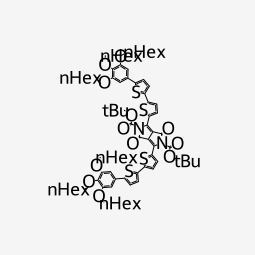 CCCCCCOc1cc(-c2ccc(-c3ccc(C4=C5C(=O)N(C(=O)OC(C)(C)C)C(c6ccc(-c7ccc(-c8cc(OCCCCCC)c(OCCCCCC)c(OCCCCCC)c8)s7)s6)=C5C(=O)N4C(=O)OC(C)(C)C)s3)s2)cc(OCCCCCC)c1OCCCCCC